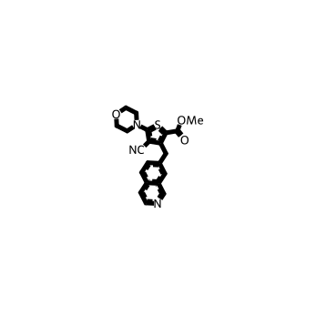 COC(=O)c1sc(N2CCOCC2)c(C#N)c1Cc1ccc2ccncc2c1